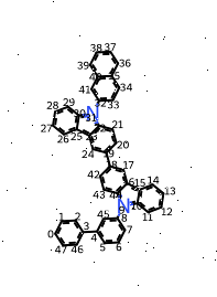 c1ccc(-c2cccc(-n3c4ccccc4c4cc(-c5ccc6c(c5)c5ccccc5n6-c5ccc6ccccc6c5)ccc43)c2)cc1